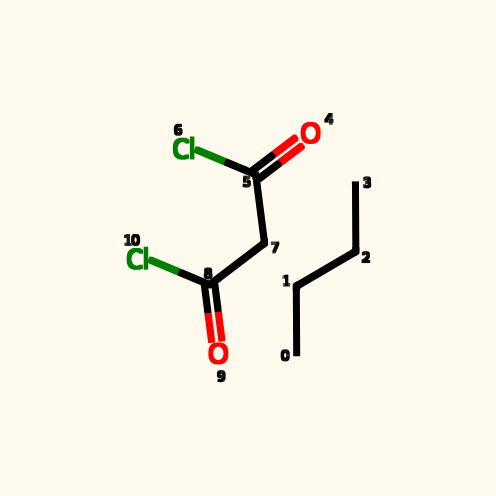 CCCC.O=C(Cl)CC(=O)Cl